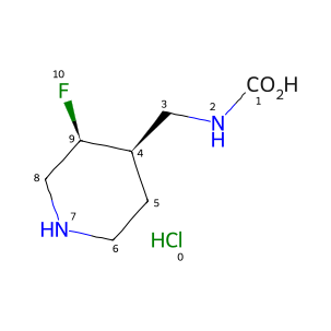 Cl.O=C(O)NC[C@H]1CCNC[C@H]1F